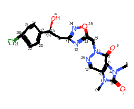 Cn1c(=O)n(C)c2c(=O)n(Cc3nc(C[C@H](O)c4ccc(Cl)cc4)no3)ncc21